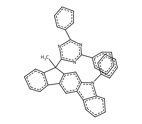 CC1(c2nc(-c3ccccc3)nc(-c3ccccc3)n2)c2ccccc2-c2cc3c4ccccc4n(-c4ccccc4)c3cc21